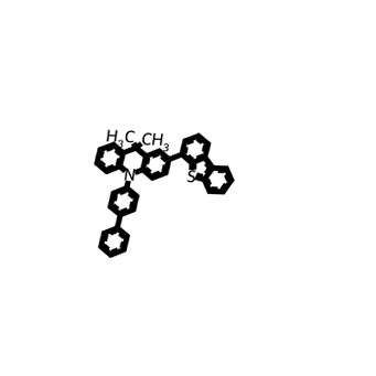 CC1(C)c2ccccc2N(c2ccc(-c3ccccc3)cc2)c2ccc(-c3cccc4c3sc3ccccc34)cc21